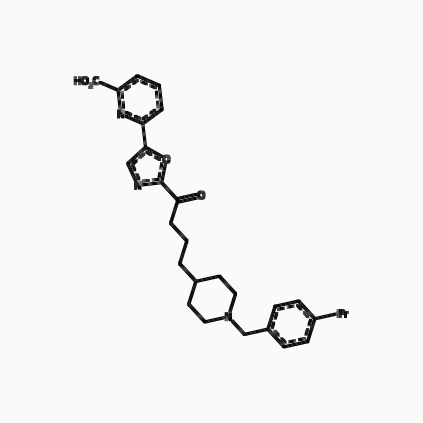 CC(C)c1ccc(CN2CCC(CCCC(=O)c3ncc(-c4cccc(C(=O)O)n4)o3)CC2)cc1